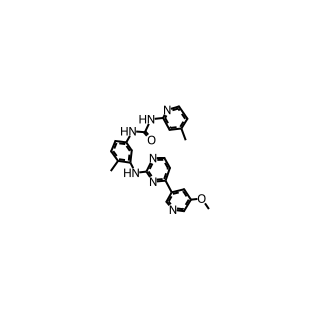 COc1cncc(-c2ccnc(Nc3cc(NC(=O)Nc4cc(C)ccn4)ccc3C)n2)c1